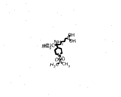 CN(C)S(=O)(=O)N1CCC(C(N)(CCCCB(O)O)C(=O)O)CC1.Cl